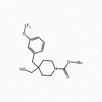 CC(C)(C)OC(=O)N1CCC(CO)(Cc2cccc(OC(F)(F)F)c2)CC1